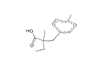 CCC(C)(Cc1ccc(C)cc1)C(=O)O